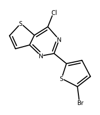 Clc1nc(-c2ccc(Br)s2)nc2ccsc12